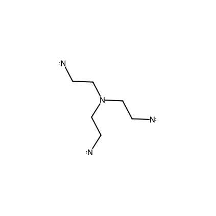 [N]CCN(CC[N])CC[N]